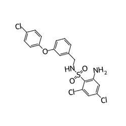 Nc1cc(Cl)cc(Cl)c1S(=O)(=O)NCc1cccc(Oc2ccc(Cl)cc2)c1